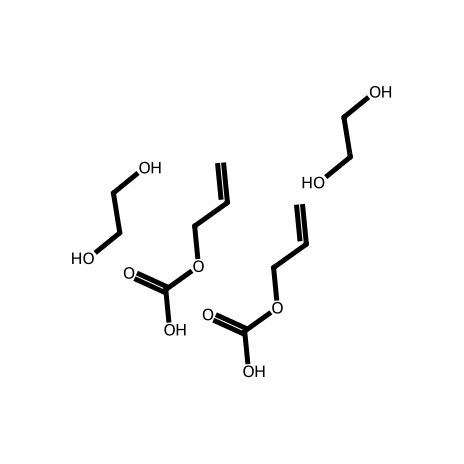 C=CCOC(=O)O.C=CCOC(=O)O.OCCO.OCCO